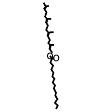 CCCCCCCCCCCCCCCC(=O)OC/C=C(\C)CC/C=C(\C)CC/C=C(\C)CCC=C(C)C